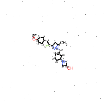 Cc1cc(C(F)=Cc2ccc(OC(F)(F)F)cc2)nn1Cc1cccc(N2CC(O)C2)c1